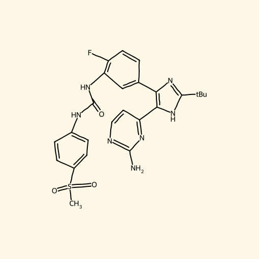 CC(C)(C)c1nc(-c2ccc(F)c(NC(=O)Nc3ccc(S(C)(=O)=O)cc3)c2)c(-c2ccnc(N)n2)[nH]1